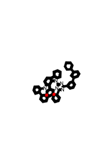 C1=CCCC(c2cccc(-c3cccc(-c4nc(-c5ccccc5)nc(-n5c6ccccc6c6ccc7c(c8ccccc8n7-c7ccccc7-c7ccccc7)c65)n4)c3)c2)=C1